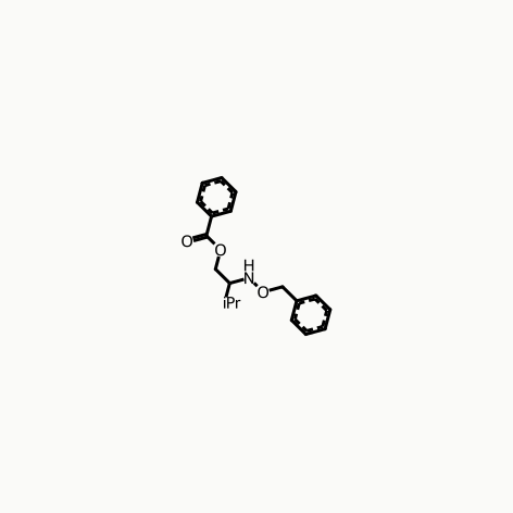 CC(C)C(COC(=O)c1ccccc1)NOCc1ccccc1